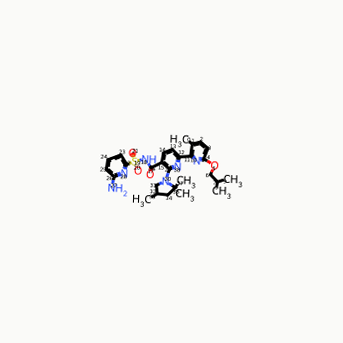 Cc1ccc(OCC(C)C)nc1-c1ccc(C(=O)NS(=O)(=O)c2cccc(N)n2)c(N2CC(C)CC2(C)C)n1